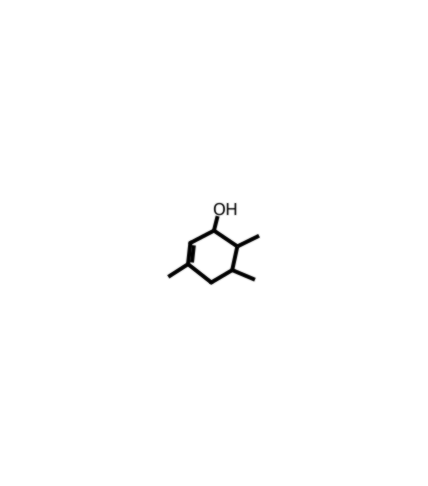 CC1=CC(O)C(C)C(C)C1